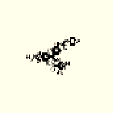 CN1CCN(CC(=O)Nc2ccc(C(c3nc4[nH]nc(N(C)C)c4c(=O)[nH]3)c3c(Cl)cc(S(N)(=O)=O)cc3Cl)cc2)CC1